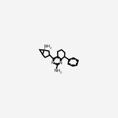 Nc1nc(C2CC3C[C@@]3(N)C2)c2c(n1)C(c1ccccc1)CCC2